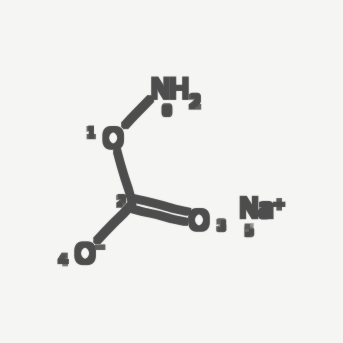 NOC(=O)[O-].[Na+]